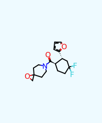 O=C([C@@H]1CCC(F)(F)C[C@H]1c1ccco1)N1CCC2(CC1)CO2